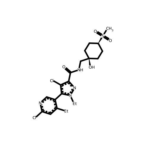 CCc1cc(Cl)ncc1-c1c(Cl)c(C(=O)NC[C@]2(O)CC[C@@H](S(C)(=O)=O)CC2)nn1CC